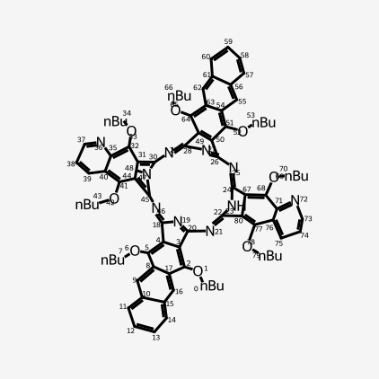 CCCCOc1c2c(c(OCCCC)c3cc4ccccc4cc13)-c1nc-2nc2[nH]c(nc3nc(nc4c5c(OCCCC)c6ncccc6c(OCCCC)c5c(n1)n4C)-c1c-3c(OCCCC)c3cc4ccccc4cc3c1OCCCC)c1c(OCCCC)c3ncccc3c(OCCCC)c21